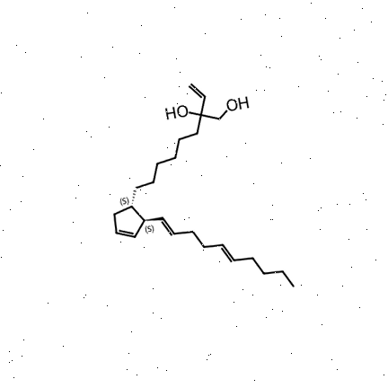 C=CC(O)(CO)CCCCCC[C@H]1CC=C[C@@H]1C=CCCC=CCCCC